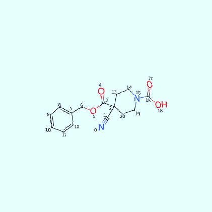 N#CC1(C(=O)OCc2ccccc2)CCN(C(=O)O)CC1